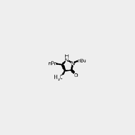 CCCCn1[nH]c(CCC)c(C)c1=O